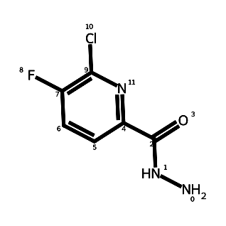 NNC(=O)c1ccc(F)c(Cl)n1